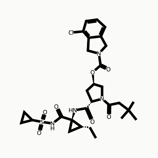 CC[C@@H]1C[C@]1(NC(=O)[C@@H]1C[C@@H](OC(=O)N2Cc3cccc(Cl)c3C2)CN1C(=O)CC(C)(C)C)C(=O)NS(=O)(=O)C1CC1